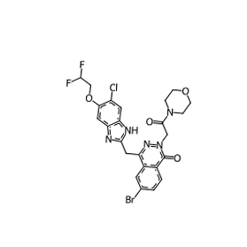 O=C(Cn1nc(Cc2nc3cc(OCC(F)F)c(Cl)cc3[nH]2)c2cc(Br)ccc2c1=O)N1CCOCC1